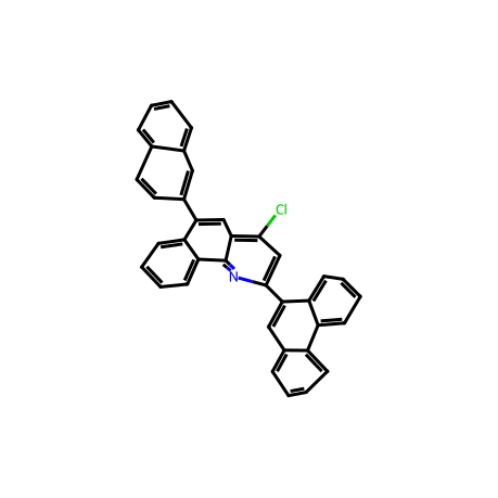 Clc1cc(-c2cc3ccccc3c3ccccc23)nc2c1cc(-c1ccc3ccccc3c1)c1ccccc12